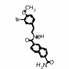 COc1ccc(CCN(O)C(=O)c2ccc3cc(C(N)=O)ccc3c2)cc1Br